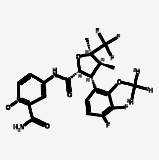 [2H]C([2H])([2H])Oc1c([C@@H]2[C@H](C(=O)Nc3cc[n+]([O-])c(C(N)=O)c3)O[C@@](C)(C(F)(F)F)[C@H]2C)ccc(F)c1F